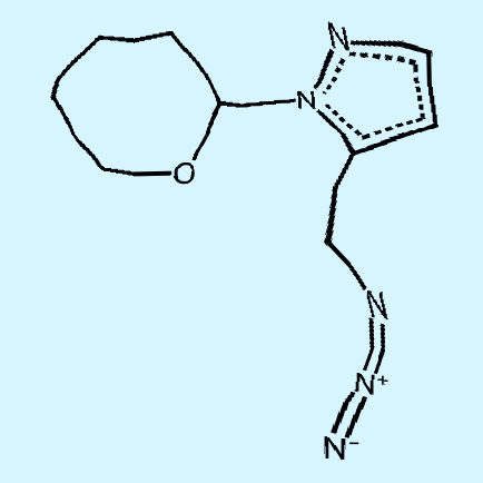 [N-]=[N+]=NCc1ccnn1C1CCCCO1